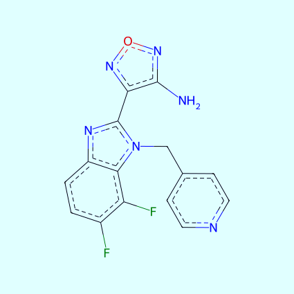 Nc1nonc1-c1nc2ccc(F)c(F)c2n1Cc1ccncc1